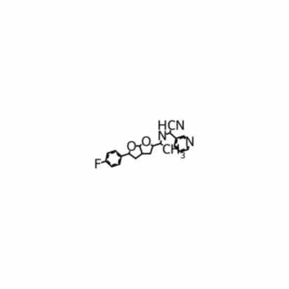 CC(NC(C#N)c1cccnc1)C1CC2CC(c3ccc(F)cc3)OC2O1